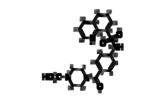 O=C(O)N1CCN(C(=O)c2ccc(NS(=O)(=O)c3cccc4cccnc34)cc2)CC1